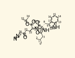 CC(C)CC(=O)N[C@@H](Cc1c[nH]c2ccccc12)C(=O)N[C@@H](CCC(=O)C=[N+]=[N-])C(=O)OC(C)C